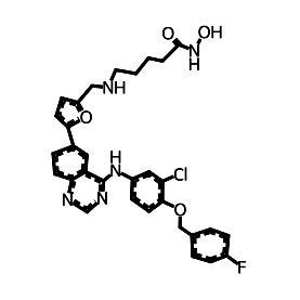 O=C(CCCCNCc1ccc(-c2ccc3ncnc(Nc4ccc(OCc5ccc(F)cc5)c(Cl)c4)c3c2)o1)NO